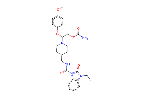 CCn1c(=O)n(C(=O)NCC2CCN(C(Oc3ccc(OC)cc3)C(C)OC(N)=O)CC2)c2ccccc21